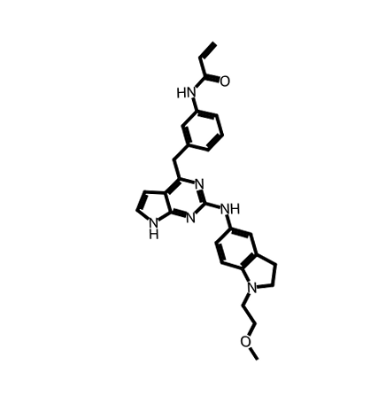 C=CC(=O)Nc1cccc(Cc2nc(Nc3ccc4c(c3)CCN4CCOC)nc3[nH]ccc23)c1